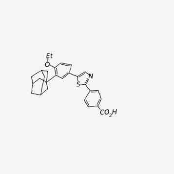 CCOc1ccc(-c2cnc(-c3ccc(C(=O)O)cc3)s2)cc1C12CC3CC(CC(C3)C1)C2